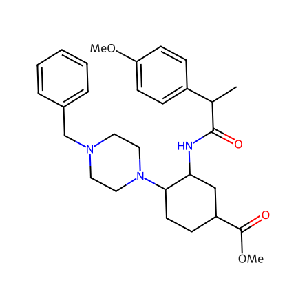 COC(=O)C1CCC(N2CCN(Cc3ccccc3)CC2)C(NC(=O)C(C)c2ccc(OC)cc2)C1